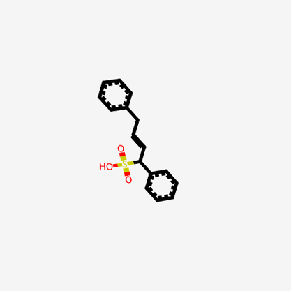 O=S(=O)(O)C(C=CCc1ccccc1)c1ccccc1